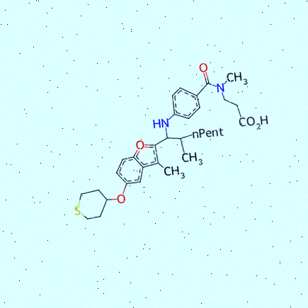 CCCCCC(C)C(Nc1ccc(C(=O)N(C)CCC(=O)O)cc1)c1oc2ccc(OC3CCSCC3)cc2c1C